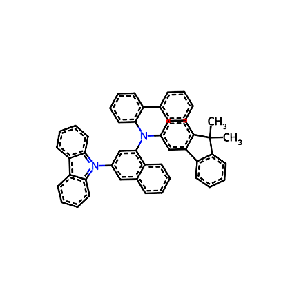 CC1(C)c2ccccc2-c2cc(N(c3ccccc3-c3ccccc3)c3cc(-n4c5ccccc5c5ccccc54)cc4ccccc34)ccc21